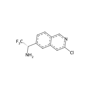 N[C@@H](c1ccc2cnc(Cl)cc2c1)C(F)(F)F